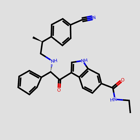 CCNC(=O)c1ccc2c(C(=O)[C@@H](NC[C@@H](C)c3ccc(C#N)cc3)c3ccccc3)c[nH]c2c1